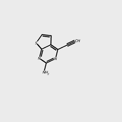 C#Cc1nc(N)nc2sccc12